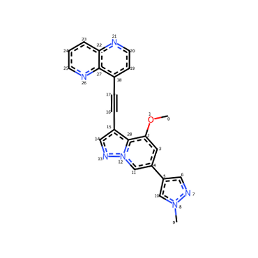 COc1cc(-c2cnn(C)c2)cn2ncc(C#Cc3ccnc4cccnc34)c12